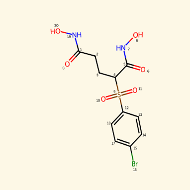 O=C(CCC(C(=O)NO)S(=O)(=O)c1ccc(Br)cc1)NO